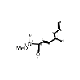 C=CCC(C)/C=C/C(=O)N(C)OC